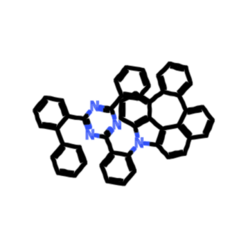 c1ccc(-c2nc(-c3ccccc3-c3ccccc3)nc(-c3ccccc3-n3c4cccc5c4c4c6c(cccc6ccc43)-c3ccccc3-5)n2)cc1